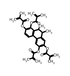 C=C(C)C(=O)Oc1cc2c(cc1OC(=O)C(=C)C)C(C)C(C)c1c-2ccc(OC(=O)C(=C)C)c1OC(=O)C(=C)C